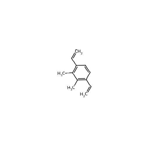 C=Cc1ccc(C=C)c(C)c1C